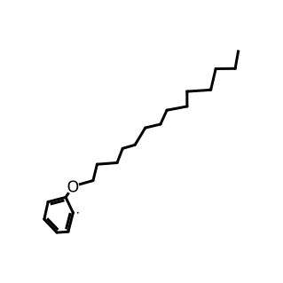 CCCCCCCCCCCCCCOc1[c]cccc1